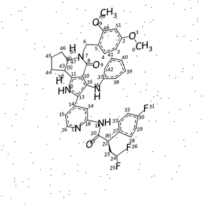 COc1ccc(CN2C(=O)c3c([nH]c(-c4ccnc(NC(=O)[C@H](CC(F)F)c5ccc(F)cc5)c4)c3Nc3ccccc3)[C@H]3CCC[C@H]32)c(OC)c1